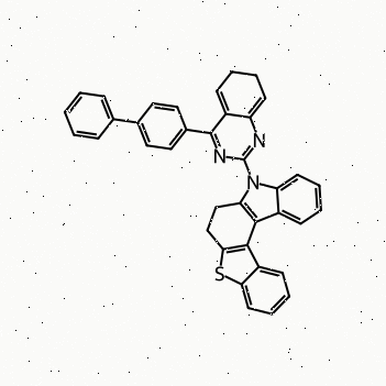 C1=c2nc(-n3c4c(c5ccccc53)-c3c(sc5ccccc35)CC4)nc(-c3ccc(-c4ccccc4)cc3)c2=CCC1